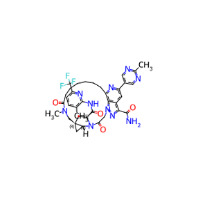 Cc1ncc(-c2cc3c(C(N)=O)nn4c3c(n2)CCCCCCC(=O)N(C)C[C@@]23C[C@@H](C(=O)Nc5nc(C(F)(F)F)ccc5C)N(C(=O)C4)[C@@H]2C3)cn1